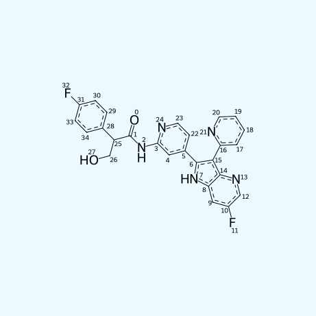 O=C(Nc1cc(-c2[nH]c3cc(F)cnc3c2-c2ccccn2)ccn1)C(CO)c1ccc(F)cc1